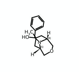 CC1(O)C[C@H]2COC[C@@H](C1)N2Cc1ccccc1